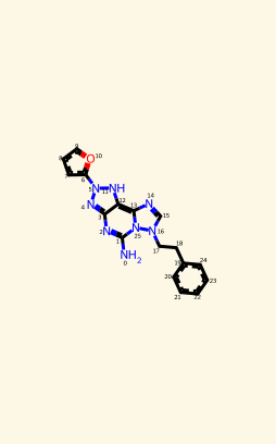 NC1=NC2=NN(c3ccco3)NC2=C2N=CN(CCc3ccccc3)N12